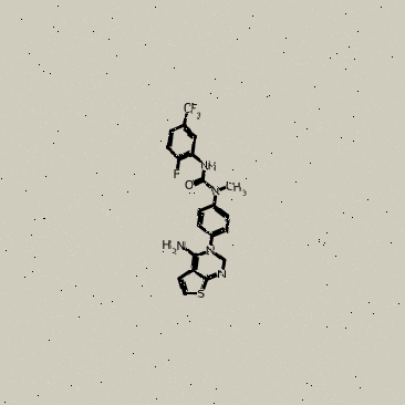 CN(C(=O)Nc1cc(C(F)(F)F)ccc1F)c1ccc(N2CN=c3sccc3=C2N)cc1